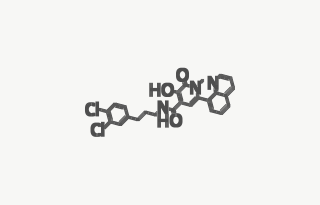 Cn1c(-c2cccc3cccnc23)cc(C(=O)NCCCc2ccc(Cl)c(Cl)c2)c(O)c1=O